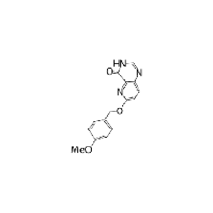 COc1ccc(COc2ccc3nc[nH]c(=O)c3n2)cc1